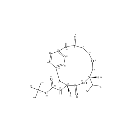 CC(C)[C@H]1COCCC(=O)Nc2ccc(cc2)C[C@@H](NC(=O)OC(C)(C)C)C(=O)N1